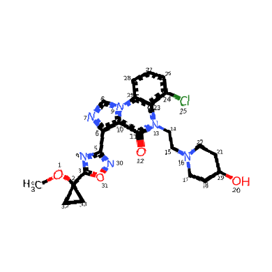 COC1(c2nc(-c3ncn4c3c(=O)n(CCN3CCC(O)CC3)c3c(Cl)cccc34)no2)CC1